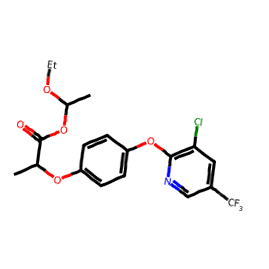 CCOC(C)OC(=O)C(C)Oc1ccc(Oc2ncc(C(F)(F)F)cc2Cl)cc1